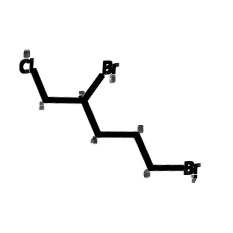 ClCC(Br)CCCBr